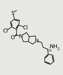 CSc1cc(Cl)c(C(=O)N2CC3CN(CC[C@H](N)c4ccccc4)CC3C2)c(Cl)c1